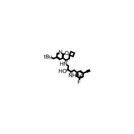 C#Cc1cc(F)cc(C[C@H](NC(C)=O)[C@H](O)CN[C@H]2CC3(CCC3)Oc3ncc(CC(C)(C)C)cc32)c1